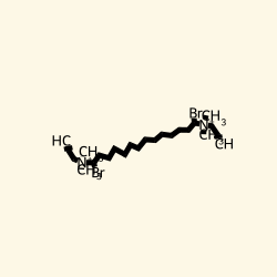 C#CC[N+](C)(C)C(Br)CCCCCCCCCCCCC(Br)[N+](C)(C)CC#C